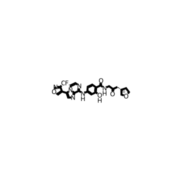 O=C(CNC(=O)c1ccc(Nc2nccn3c(-c4conc4C(F)(F)F)cnc23)cc1O)C[C@@H]1CCOC1